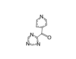 O=C(c1ccncc1)c1ncncn1